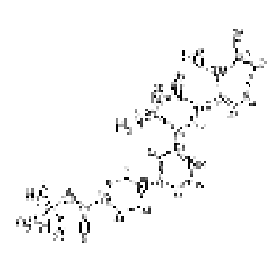 CC(C)(C)OC(=O)N1CCN(c2ccnc(-c3cc(-c4cccc(F)c4O)nnc3N)c2)CC1